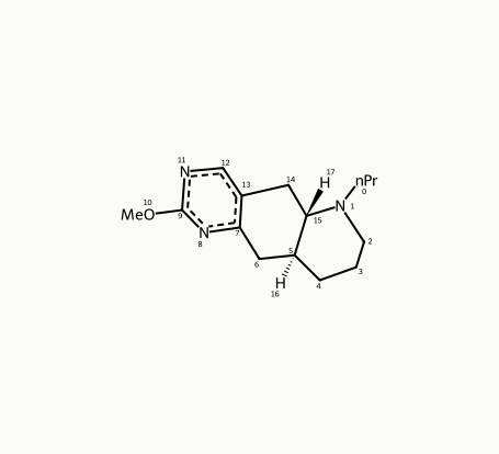 CCCN1CCC[C@H]2Cc3nc(OC)ncc3C[C@@H]21